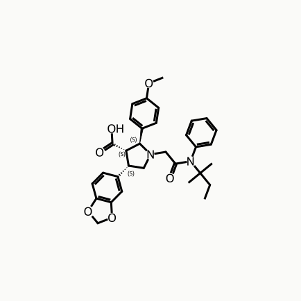 CCC(C)(C)N(C(=O)CN1C[C@H](c2ccc3c(c2)OCO3)[C@H](C(=O)O)[C@H]1c1ccc(OC)cc1)c1ccccc1